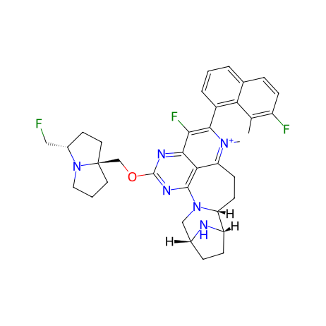 Cc1c(F)ccc2cccc(-c3c(F)c4nc(OC[C@@]56CCCN5[C@H](CF)CC6)nc5c4c([n+]3C)CC[C@@H]3[C@@H]4CC[C@H](CN53)N4)c12